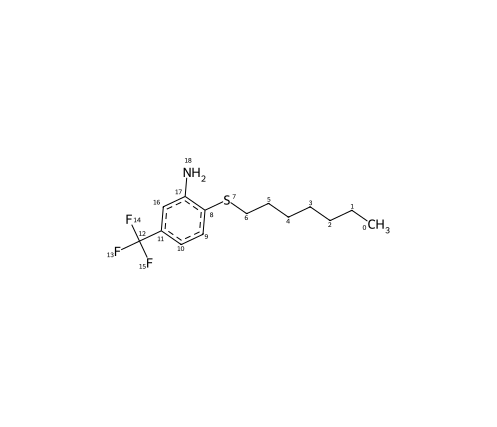 CCCCCCCSc1ccc(C(F)(F)F)cc1N